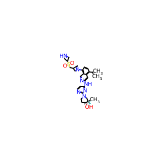 CC(C)c1ccc(N2CC(CS(=O)(=O)C3CNC3)C2)c2cnc(Nc3ccnc(N4CC[C@@H](O)[C@@](C)(F)C4)n3)cc12